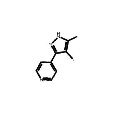 Cc1[nH]nc(-c2ccncc2)c1I